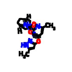 Cc1cc(Oc2cc(C)[nH]n2)nc(N2C[C@H]3CC[C@@H](C2)N3C(=O)OC(C)(C)C)n1